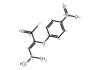 CN(C)/C=C(\Oc1ccc([N+](=O)[O-])cc1)C(=O)I